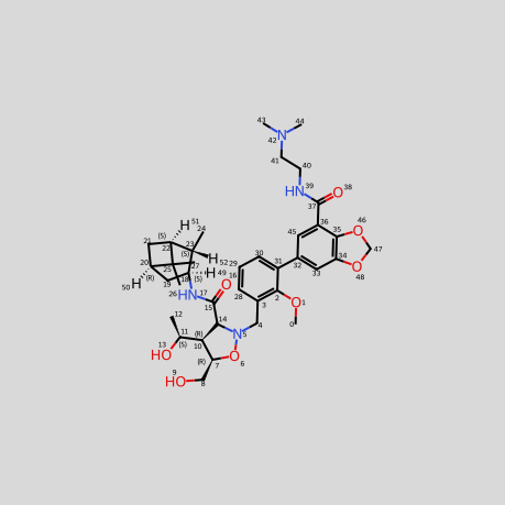 COc1c(CN2O[C@@H](CO)[C@@H]([C@H](C)O)C2C(=O)N[C@H]2C[C@H]3C[C@@H]([C@@H]2C)C3(C)C)cccc1-c1cc2c(c(C(=O)NCCN(C)C)c1)OCO2